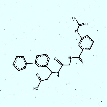 N=C(N)Nc1cccc(C(=O)NCC(=O)NC(CC(=O)O)c2cccc(-c3ccccc3)c2)c1